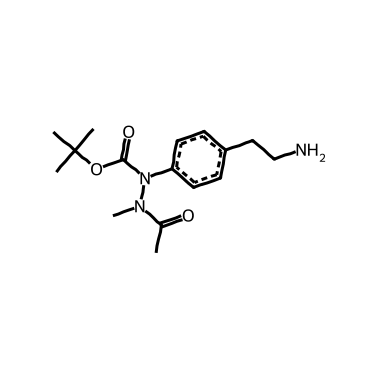 CC(=O)N(C)N(C(=O)OC(C)(C)C)c1ccc(CCN)cc1